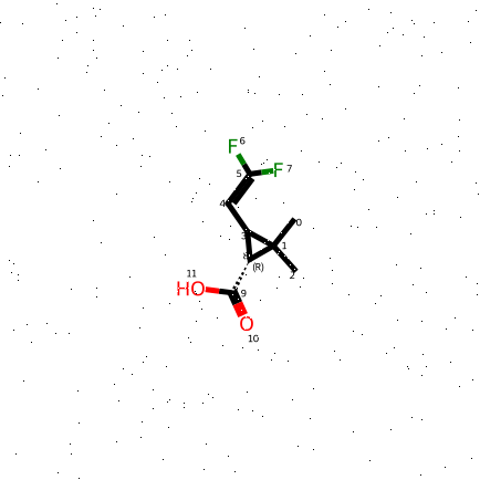 CC1(C)C(C=C(F)F)[C@H]1C(=O)O